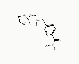 CCN(CC)C(=O)c1ccc(CN2CCC3(CC2)OCCO3)cc1